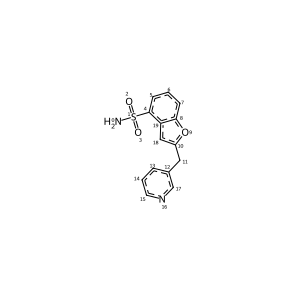 NS(=O)(=O)c1cccc2oc(Cc3cccnc3)cc12